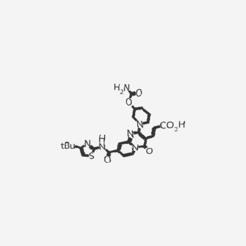 CC(C)(C)c1csc(NC(=O)c2ccn3c(=O)c(/C=C/C(=O)O)c(N4CCCC(OC(N)=O)C4)nc3c2)n1